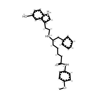 COc1ccc(NC(=O)CCCCC(Cc2ccccc2)NCCc2c[nH]c3ccc(O)cc23)cc1